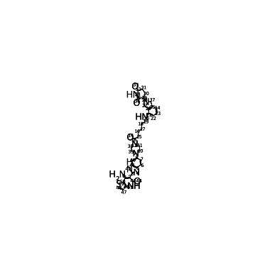 Nc1c(-c2nc3ccc(N4CCN(C(=O)CCCCCNc5cccc6c5CN(C5CCC(=O)NC5=O)C6)CC4)cc3[nH]2)c(=O)[nH]c2ccsc12